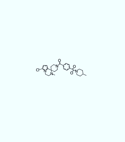 CC1CCN(S(=O)(=O)c2ccc(C(=O)N3CCC4(CC3)c3ccc(Cl)n3CCN4C)cc2)CC1